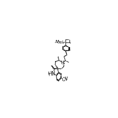 C=C1Nc2ccc(C#N)cc2C12CCC(C)N(C(C)CCc1ccc(C3(SC)CCC3)cc1)CC2